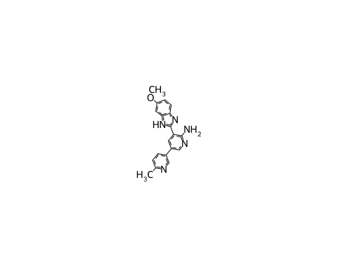 COc1ccc2nc(-c3cc(-c4ccc(C)nc4)cnc3N)[nH]c2c1